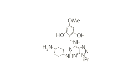 COc1cc(O)c(CNc2nc(NC3CCC(N)CC3)nc3c2nnn3C(C)C)c(O)c1